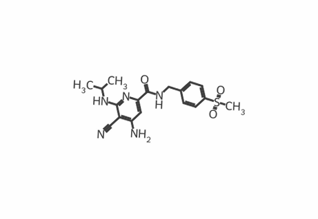 CC(C)Nc1nc(C(=O)NCc2ccc(S(C)(=O)=O)cc2)cc(N)c1C#N